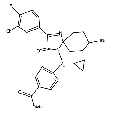 COC(=O)c1ccc([C@@H](C2CC2)N2C(=O)C(c3ccc(F)c(Cl)c3)=NC23CCC(C(C)(C)C)CC3)cc1